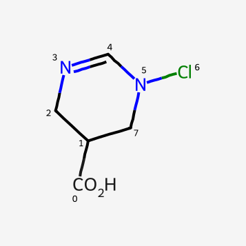 O=C(O)C1CN=CN(Cl)C1